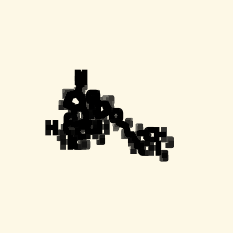 CCN(CC)CCCOC1=CC(=O)N([C@H]2c3cc(C#N)ccc3OC(C)(C)[C@@H]2O)C1.Cl